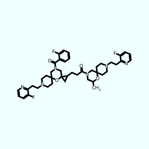 CC1CN(C(=O)CCC2CC23CN(C(=O)c2ccccc2F)CC2(CCN(CCc4ncccc4F)CC2)O3)CC2(CCN(CCc3ncccc3F)CC2)O1